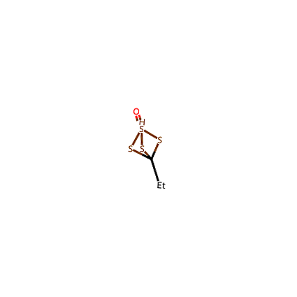 CCC12S[SH](=O)(S1)S2